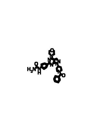 NC(=O)Nc1ccc(-c2nc(N3CCOCC3)c3cnn(C4CCN(C(=O)c5ccccc5)CC4)c3n2)cc1